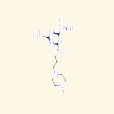 CNc1nc(NN)nc(NCCCN2CCN(C)CC2)n1